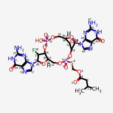 CC(C)CC(=O)OCSP1(=O)OC[C@H]2O[C@@H](n3cnc4c(=O)[nH]c(N)nc43)C(F)C2OP(=O)(O)OC[C@H]2O[C@@H](n3cnc4c(=O)[nH]c(N)nc43)C(O1)C2O